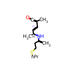 C=C(CCSCCC)N[C@@H](C)/C=C/C(C)=C=O